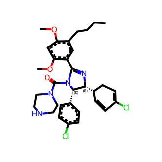 CCCCc1cc(C2=N[C@H](C3C=CC(Cl)=CC3)[C@H](c3ccc(Cl)cc3)N2C(=O)N2CCNCC2)c(OC)cc1OC